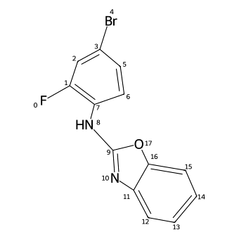 Fc1cc(Br)ccc1Nc1nc2ccccc2o1